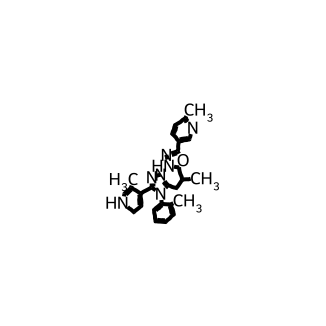 CC1=CNCC=C1c1nnc(CC(C)C2NN=C(c3ccc(C)nc3)O2)n1-c1ccccc1C